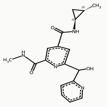 CNC(=O)c1cc(C(=O)N[C@H]2C[C@@H]2C)cc(C(O)c2ccccn2)n1